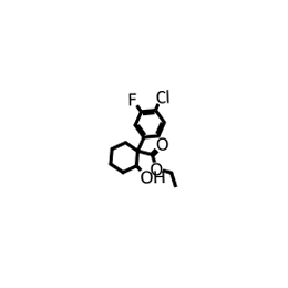 CCOC(=O)C1(c2ccc(Cl)c(F)c2)CCCCC1O